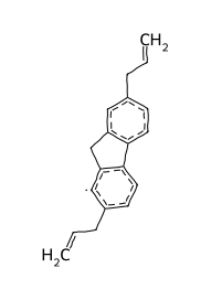 C=CCc1[c]c2c(cc1)-c1ccc(CC=C)cc1C2